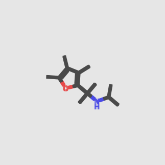 Cc1oc(C(C)(C)NC(C)C)c(C)c1C